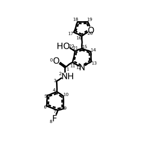 O=C(NCc1ccc(F)cc1)c1nccc(-c2ccco2)c1O